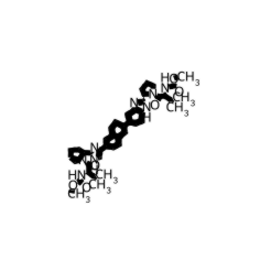 COC(=O)N[C@H](C(=O)N1CCC[C@H]1c1nc2cc(-c3ccc4cc(-c5c[nH]c(C67CCC(CN6C(=O)[C@@H](NC(=O)OC)C(C)C)C7)n5)ccc4c3)ccc2[nH]1)C(C)C